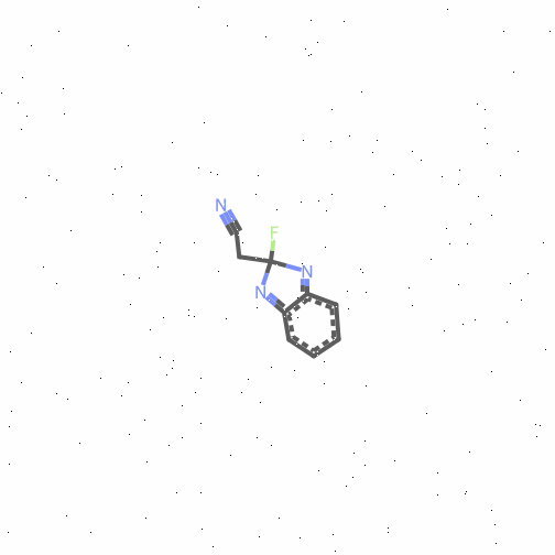 N#CCC1(F)N=c2ccccc2=N1